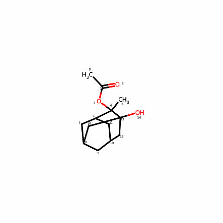 CC(=O)OC1(C)C2CC3CC(C2)CC1(O)C3